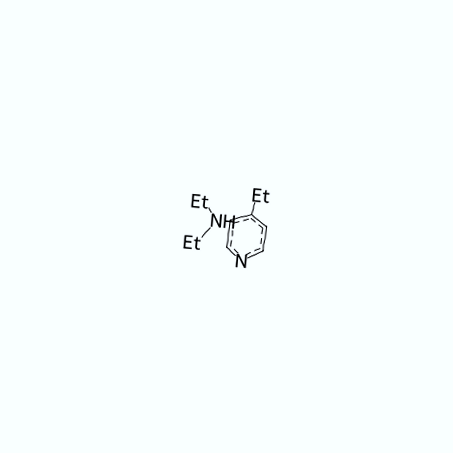 CCNCC.CCc1ccncc1